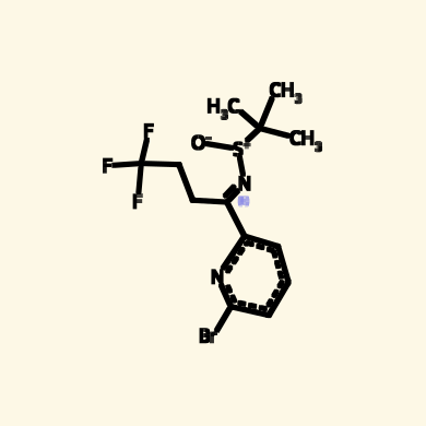 CC(C)(C)[S+]([O-])/N=C(\CCC(F)(F)F)c1cccc(Br)n1